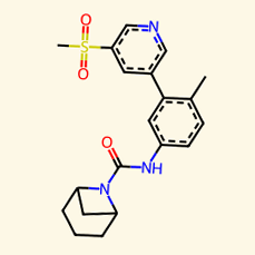 Cc1ccc(NC(=O)N2C3CCCC2C3)cc1-c1cncc(S(C)(=O)=O)c1